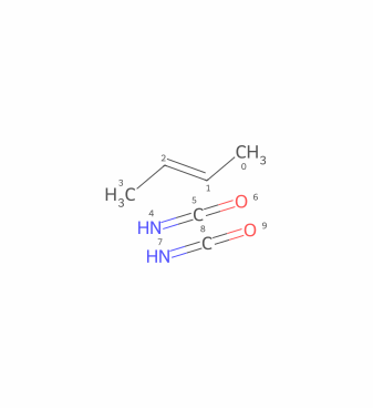 CC=CC.N=C=O.N=C=O